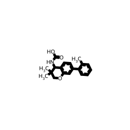 Cc1ccccc1-c1ccc2c(c1)OCC(C)(C)C2NC(=O)O